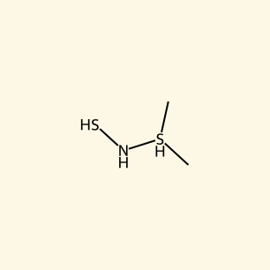 C[SH](C)NS